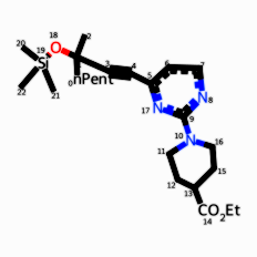 CCCCCC(C)(C#Cc1ccnc(N2CCC(C(=O)OCC)CC2)n1)O[Si](C)(C)C